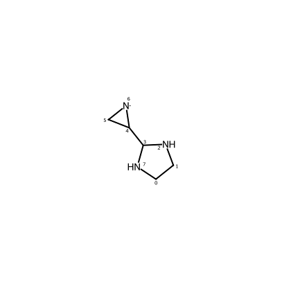 C1CNC(C2C[N]2)N1